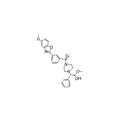 COc1ccc2oc(-c3cccc(C(=O)N4CCN([C@H](c5ccccc5)C(O)OC)CC4)c3)nc2c1